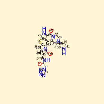 C[C@@H](NC(=O)Cn1cnnn1)[C@H]1C(=O)N2C(C(=O)O)=C(S[C@@H]3CN[C@H](C(=O)N4CCN([C@H]5CCNC5)CC4)C3)[C@H](C)[C@H]12